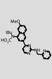 COc1ccc2cc(-c3ccnc(NCc4ccccn4)n3)cc(N(C(=O)O)C(C)(C)C)c2c1